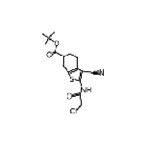 CC(C)(C)OC(=O)C1CCc2c(sc(NC(=O)CCl)c2C#N)C1